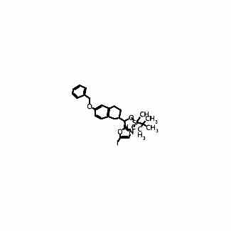 CC(C)(C)[Si](C)(C)OC(c1ncc(I)o1)C1CCc2cc(OCc3ccccc3)ccc2C1